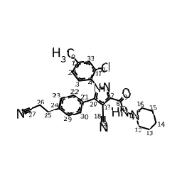 Cc1ccc(-n2nc(C(=O)NN3CCCCC3)c(C#N)c2-c2ccc(CCC#N)cc2)c(Cl)c1